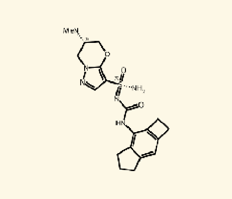 CN[C@@H]1COc2c([S@@](N)(=O)=NC(=O)Nc3c4c(cc5c3CC5)CCC4)cnn2C1